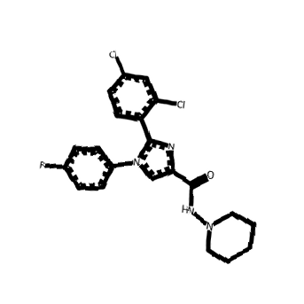 O=C(NN1CCCCC1)c1cn(-c2ccc(F)cc2)c(-c2ccc(Cl)cc2Cl)n1